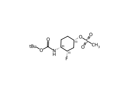 CC(C)(C)OC(=O)N[C@@H]1CC[C@H](OS(C)(=O)=O)C[C@@H]1F